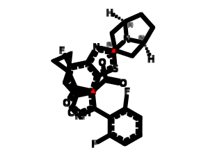 O=C(O)c1cc(F)c2nc(N3[C@@H]4CC[C@H]3C[C@H](OC(=O)c3c(-c5c(F)cccc5F)noc3C3CC3)C4)sc2c1